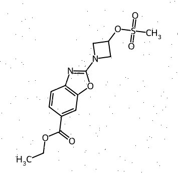 CCOC(=O)c1ccc2nc(N3CC(OS(C)(=O)=O)C3)oc2c1